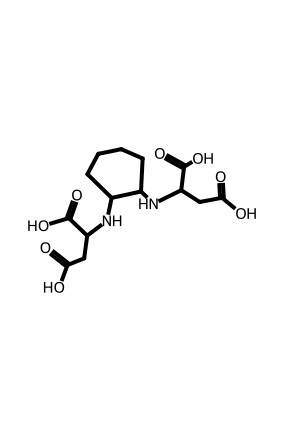 O=C(O)CC(NC1CCCCC1NC(CC(=O)O)C(=O)O)C(=O)O